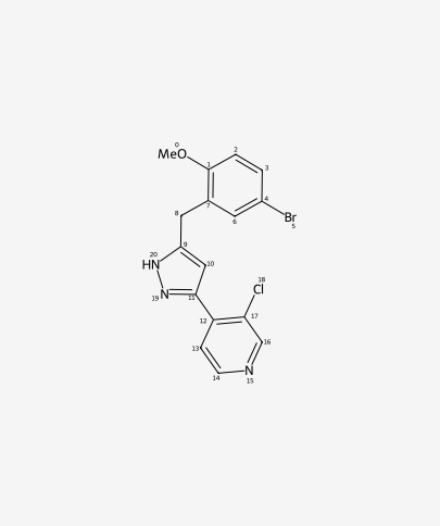 COc1ccc(Br)cc1Cc1cc(-c2ccncc2Cl)n[nH]1